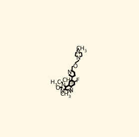 CC(C)n1c(=O)n(C)c2nnc3cc(F)c(-c4ccc(COCCN5CCN(C)CC5)nc4)cc3c21